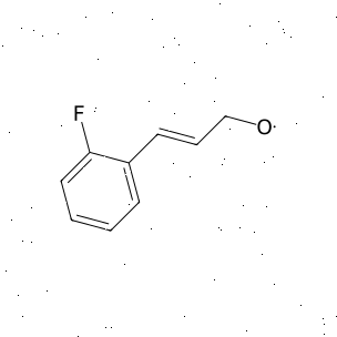 [O]C/C=C/c1ccccc1F